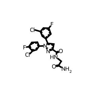 NC(=O)CNC(=O)c1cc(-c2cc(F)cc(Cl)c2)n(-c2ccc(F)c(Cl)c2)n1